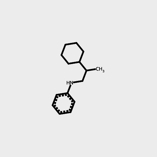 CC(CNc1ccccc1)C1CCCCC1